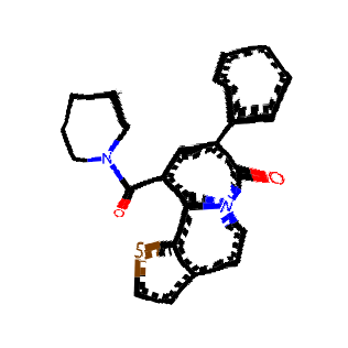 O=C(c1cc(-c2ccccc2)c(=O)n2ccc3ccsc3c12)N1C[CH]CCC1